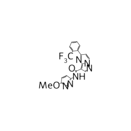 COc1ccc(NC(=O)c2cnn3ccc(-c4ccccc4C(F)(F)F)nc23)nn1